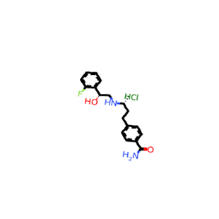 C[C@H](CCc1ccc(C(N)=O)cc1)NC[C@H](O)c1ccccc1F.Cl